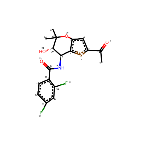 CC(=O)c1cc2c(s1)[C@@H](NC(=O)c1ccc(F)cc1F)[C@H](O)C(C)(C)O2